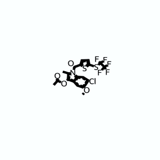 COc1cc2c(OC(C)=O)c(C)n(C(=O)c3ccc(SC(F)(F)C(F)(F)F)s3)c2cc1Cl